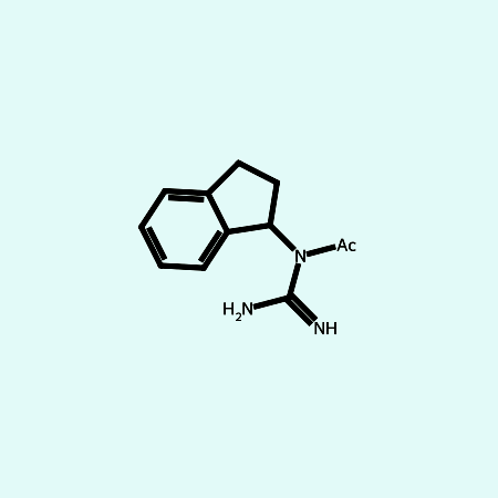 CC(=O)N(C(=N)N)C1CCc2ccccc21